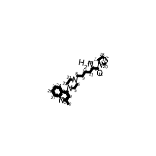 Cc1cc(N2CCN(CCCC[C@H](N)C(=O)N3CCSC3)CC2)c2ccccc2n1